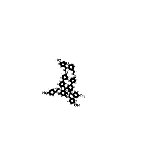 CC1(OCCc2ccc(O)cc2)C(C(c2cc(-c3ccc(OCCc4ccc(O)cc4)cc3)ccc2OCCc2ccc(O)cc2)c2cc(-c3ccc(OCCc4ccc(O)cc4)cc3)ccc2OCCc2ccc(O)cc2)=CC(I)=CC1I